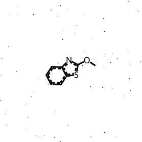 COc1nc2cc[c]cc2s1